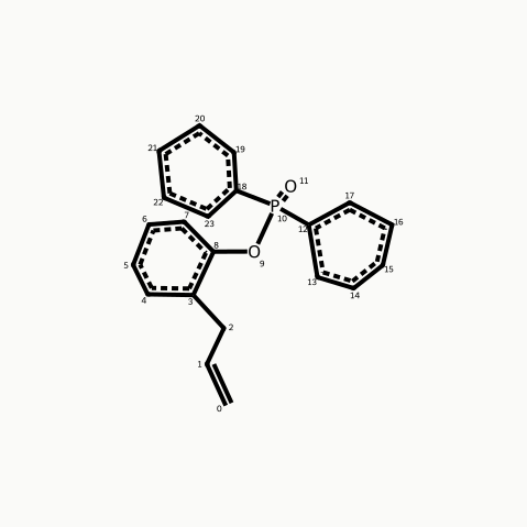 C=CCc1ccccc1OP(=O)(c1ccccc1)c1ccccc1